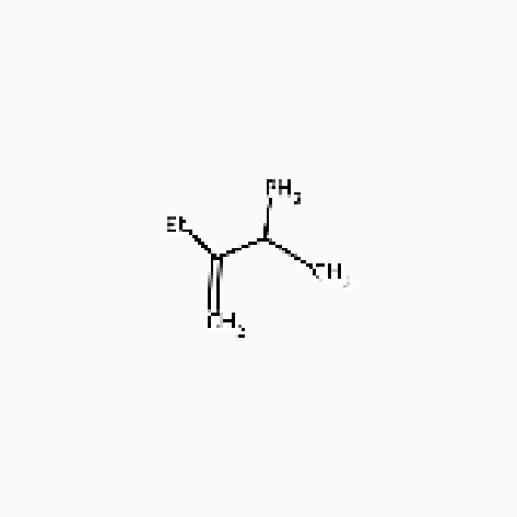 C=C(CC)C(C)P